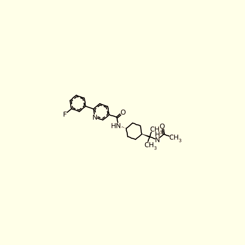 CC(=O)NC(C)(C)[C@H]1CC[C@H](NC(=O)c2ccc(-c3cccc(F)c3)nc2)CC1